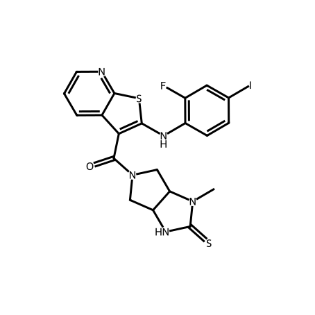 CN1C(=S)NC2CN(C(=O)c3c(Nc4ccc(I)cc4F)sc4ncccc34)CC21